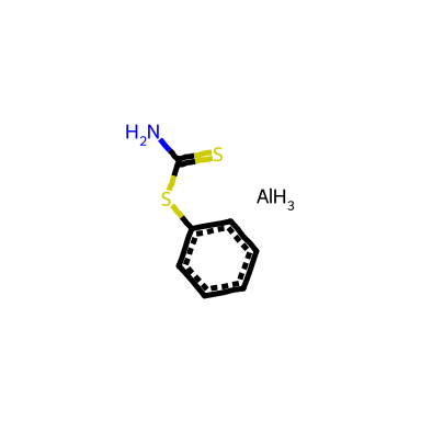 NC(=S)Sc1ccccc1.[AlH3]